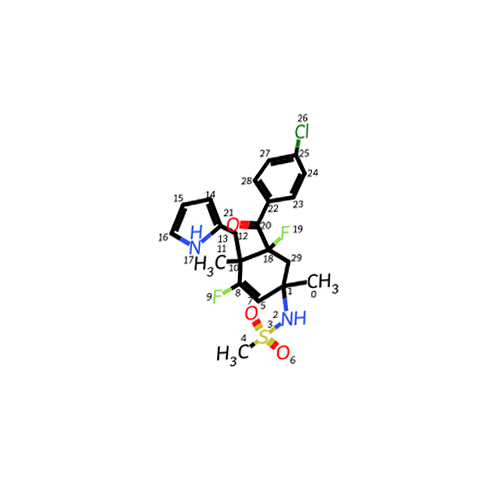 CC1(NS(C)(=O)=O)C=C(F)C(C)(Cc2ccc[nH]2)C(F)(C(=O)c2ccc(Cl)cc2)C1